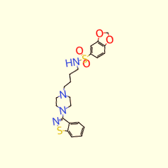 O=S(=O)(NCCCCN1CCN(c2nsc3ccccc23)CC1)c1ccc2c(c1)OCO2